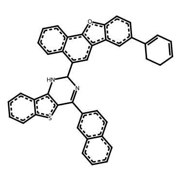 C1=CCCC(c2ccc3oc4c5ccccc5c(C5N=C(c6ccc7ccccc7c6)c6sc7ccccc7c6N5)cc4c3c2)=C1